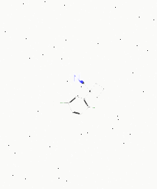 N#CC1(c2cc(Cl)ccc2F)CCC1